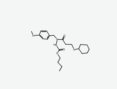 CCCCOC(=O)NN(Cc1ccc(OC)cc1)C(=O)CCOC1CCCCC1